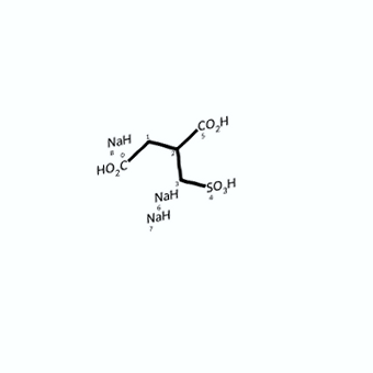 O=C(O)CC(CS(=O)(=O)O)C(=O)O.[NaH].[NaH].[NaH]